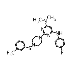 CN(C)c1cc(Nc2ccc(F)cc2)nc(N2CCN(Sc3cccc(C(F)(F)F)c3)CC2)n1